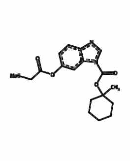 CSCC(=O)Oc1ccc2ncn(C(=O)OC3(C)CCCCC3)c2c1